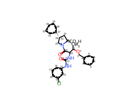 CC(OCc1ccccc1)C(NC(=O)Nc1cccc(Cl)c1)C(=O)N1C[C@H](c2ccccc2)C[C@@H]1C(=O)O